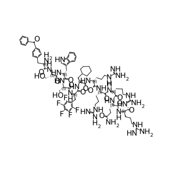 N=C(N)NCCC[C@H](NC(=O)[C@@H](CCCNC(=N)N)NC(=O)[C@H](CC1CCCCC1)NC(=O)[C@@H](Cc1c(F)c(F)c(F)c(F)c1F)NC(=O)[C@H](CO)NC(=O)[C@@H](Cc1c[nH]c2ccccc12)NC(=O)[C@H](CO)NC(=O)[C@H](N)Cc1ccc(C(=O)c2ccccc2)cc1)C(=O)N[C@H](CCCNC(=N)N)C(=O)N[C@@H](CCC(N)=O)C(=O)N[C@@H]([C]=O)CCCNC(=N)N